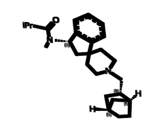 CC(C)C(=O)N(C)[C@H]1CC2(CCN(C[C@H]3C[C@H]4CC[C@H]3C4)CC2)c2ccccc21